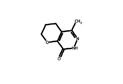 Cc1n[nH]c(=O)c2c1CCCO2